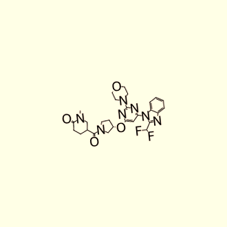 CN1CC(C(=O)N2CC[C@H](Oc3cc(-n4c(C(F)F)nc5ccccc54)nc(N4CCOCC4)n3)C2)CCC1=O